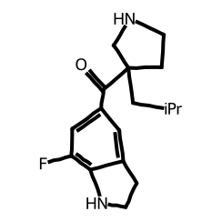 CC(C)CC1(C(=O)c2cc(F)c3c(c2)CCN3)CCNC1